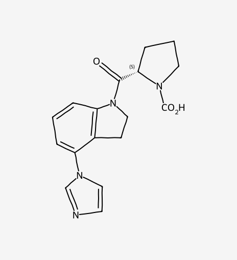 O=C([C@@H]1CCCN1C(=O)O)N1CCc2c1cccc2-n1ccnc1